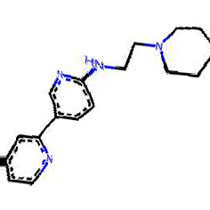 c1ccc(-c2ccc(NCCN3CCCCC3)nc2)nc1